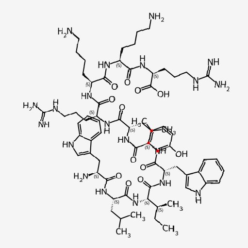 CC[C@H](C)[C@H](NC(=O)[C@H](CC(C)C)NC(=O)[C@@H](N)Cc1c[nH]c2ccccc12)C(=O)N[C@@H](Cc1c[nH]c2ccccc12)C(=O)N[C@H](C(=O)N[C@@H](Cc1ccc(O)cc1)C(=O)N[C@@H](CCCNC(=N)N)C(=O)N[C@@H](CCCCN)C(=O)N[C@@H](CCCCN)C(=O)N[C@@H](CCCNC(=N)N)C(=O)O)C(C)C